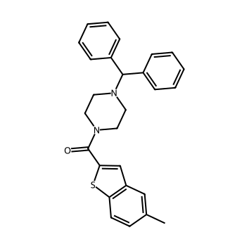 Cc1ccc2sc(C(=O)N3CCN(C(c4ccccc4)c4ccccc4)CC3)cc2c1